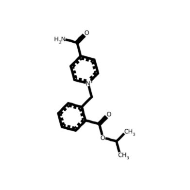 CC(C)OC(=O)c1ccccc1C[n+]1ccc(C(N)=O)cc1